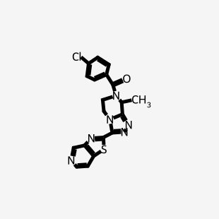 CC1c2nnc(-c3nc4cnccc4s3)n2CCN1C(=O)c1ccc(Cl)cc1